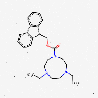 O=C(O)CN1CCN(CC(=O)O)CCN(C(=O)OCC2c3ccccc3-c3ccccc32)CC1